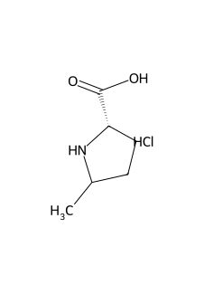 CC1CC[C@@H](C(=O)O)N1.Cl